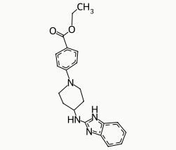 CCOC(=O)c1ccc(N2CCC(Nc3nc4ccccc4[nH]3)CC2)cc1